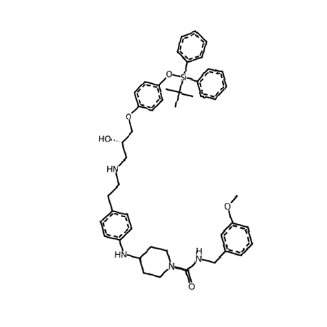 COc1cccc(CNC(=O)N2CCC(Nc3ccc(CCNC[C@H](O)COc4ccc(O[Si](c5ccccc5)(c5ccccc5)C(C)(C)C)cc4)cc3)CC2)c1